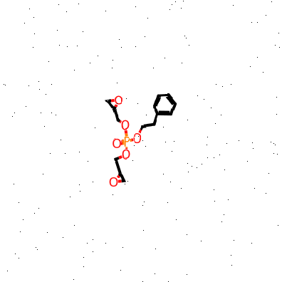 O=P(OCCc1ccccc1)(OCC1CO1)OCC1CO1